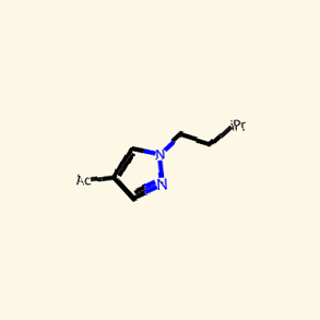 CC(=O)c1cnn(CCC(C)C)c1